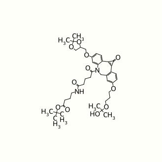 CC(C)(C)OC(=O)CCCNC(=O)CCCC(=O)N1Cc2cc(OCCCOC(C)(C)O)ccc2-c2c(c2=O)-c2ccc(OCC3COC(C)(C)O3)cc21